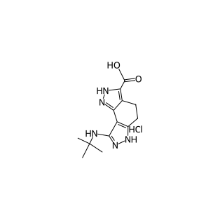 CC(C)(C)Nc1n[nH]c2c1-c1n[nH]c(C(=O)O)c1CC2.Cl